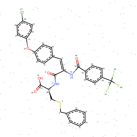 O=C(N[C@@H](CSCc1ccccc1)C(=O)O)/C(=C\c1ccc(Oc2ccc(Cl)cc2)cc1)NC(=O)c1ccc(C(F)(F)F)cc1